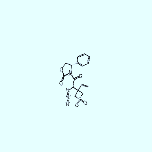 C=CC1(C(N=[N+]=[N-])C(=O)N2C(=O)OC[C@@H]2c2ccccc2)CS(=O)(=O)C1